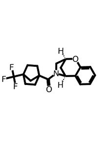 O=C(N1C[C@@H]2C[C@H]1c1ccccc1O2)C12CCC(C(F)(F)F)(CC1)C2